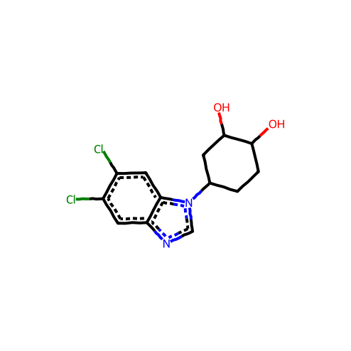 OC1CCC(n2cnc3cc(Cl)c(Cl)cc32)CC1O